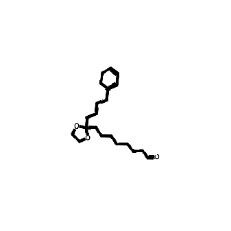 O=CCCCCCCCC1(CCCCC2=CC=CCC2)OCCO1